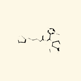 CC[C@@H]1C(=O)OC[C@@H]1C(OC(=O)CCCC[C@@H]1CCSS1)c1cncn1C